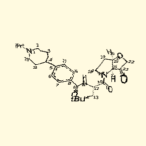 CC(C)N1CCC(c2ccc(C(=O)N[C@@H](CC(C)(C)C)C(=O)N3CC[C@H]4OCC(=O)[C@H]43)cc2)CC1